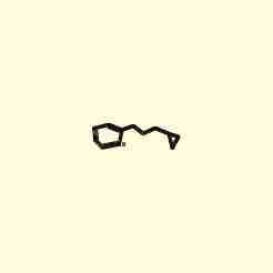 [c]1ccccc1CCCC1CC1